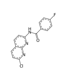 O=C(Nc1ccc2ccc(Cl)nc2n1)c1ccc(F)cc1